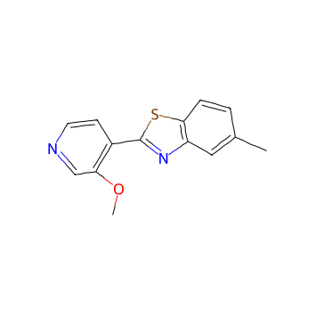 COc1cnccc1-c1nc2cc(C)ccc2s1